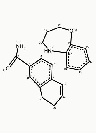 NC(=O)c1ccc2c(c1)CCC=C2.c1ccc2c(c1)NCCCO2